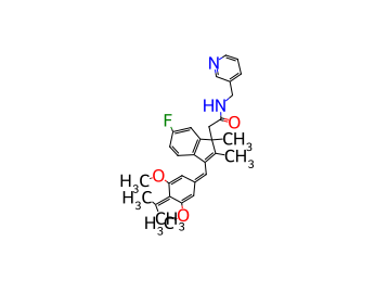 COc1cc(=CC2=C(C)C(C)(CC(=O)NCc3cccnc3)c3cc(F)ccc32)cc(OC)c1=C(C)C